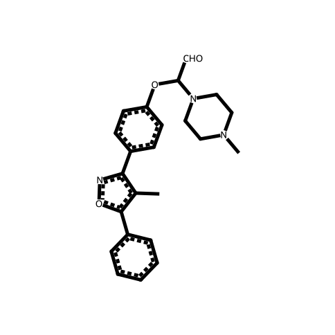 Cc1c(-c2ccc(OC(C=O)N3CCN(C)CC3)cc2)noc1-c1ccccc1